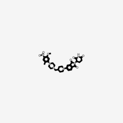 COc1cc(N2CCN(CC3CCN(c4ccc5c(c4)C(=O)N(C4CCC(=O)NC4=O)C5=O)CC3)CC2)c(C)cc1[N+](=O)[O-]